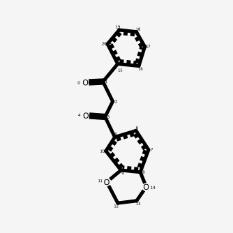 O=C(CC(=O)c1ccc2c(c1)OCCO2)c1ccccc1